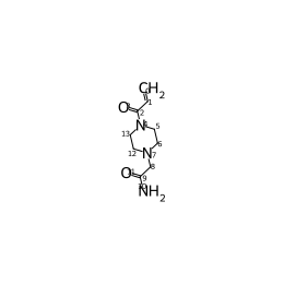 C=CC(=O)N1CCN(CC(N)=O)CC1